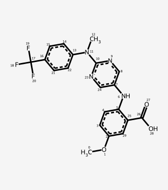 COc1ccc(Nc2cnc(N(C)c3ccc(C(F)(F)F)cc3)nc2)c(C(=O)O)c1